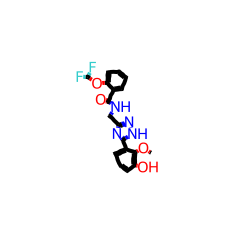 COc1c(O)cccc1-c1nc(CNC(=O)c2ccccc2OC(F)F)n[nH]1